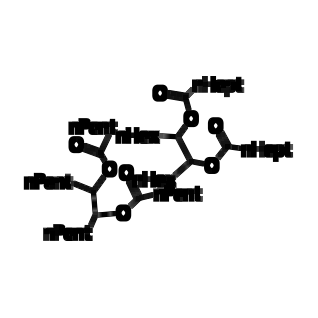 CCCCCC(=O)OC(CCCCC)C(CCCCC)OC(=O)CCCCC.CCCCCCCC(=O)OC(CCCCCC)C(CCCCCC)OC(=O)CCCCCCC